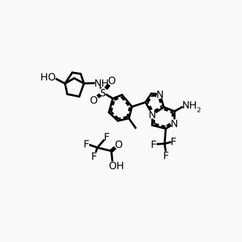 Cc1ccc(S(=O)(=O)NC23CCC(O)(CC2)C3)cc1-c1cnc2c(N)nc(C(F)(F)F)cn12.O=C(O)C(F)(F)F